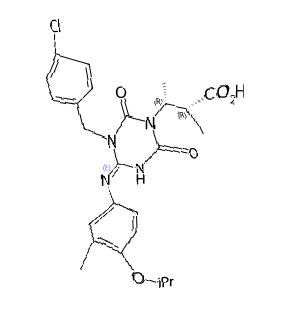 Cc1cc(/N=c2\[nH]c(=O)n([C@H](C)[C@@H](C)C(=O)O)c(=O)n2Cc2ccc(Cl)cc2)ccc1OC(C)C